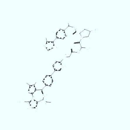 Cc1ncsc1-c1ccc(C(C)NC(=O)[C@@H]2C[C@@H](O)CN2C(=O)C(NC(=O)COc2ccc(-c3ccc(C4=N[C@@H](CC(=O)O)c5nnc(C)n5-c5sc(C)c(C)c54)cc3)cn2)C(C)(C)C)cc1